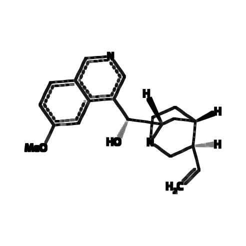 C=C[C@H]1CN2CC[C@H]1C[C@H]2[C@H](O)c1cncc2ccc(OC)cc12